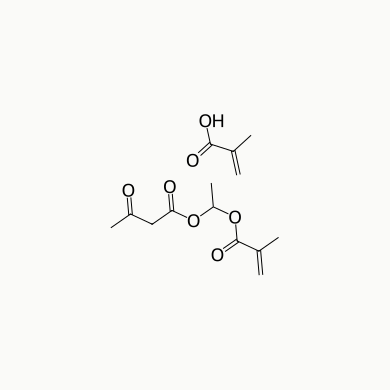 C=C(C)C(=O)O.C=C(C)C(=O)OC(C)OC(=O)CC(C)=O